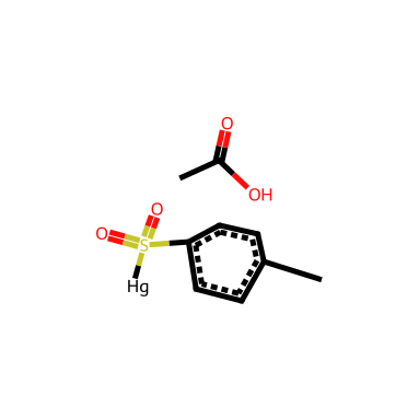 CC(=O)O.Cc1ccc([S](=O)(=O)[Hg])cc1